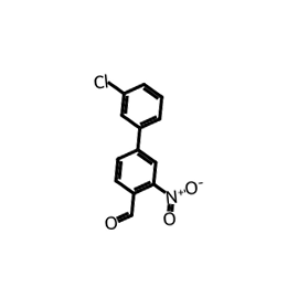 O=Cc1ccc(-c2cccc(Cl)c2)cc1[N+](=O)[O-]